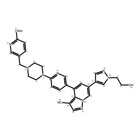 COc1ccc(CN2CCN(c3ccc(-c4cc(-c5cnn(CCO)c5)cn5ncc(C#N)c45)cn3)CC2)cn1